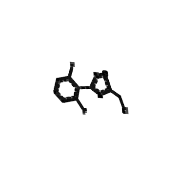 Fc1cccc(F)c1-c1noc(CCl)n1